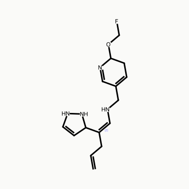 C=CC/C(=C/NCC1=CCC(OCF)N=C1)C1C=CNN1